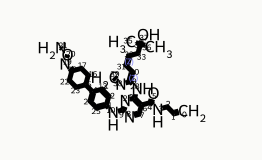 C=CCNC(=O)c1cnc(Nc2ccc(C3CCC(=NON)CC3)cc2)nc1N/C(=C/C=C\CC(C)(C)O)N=C